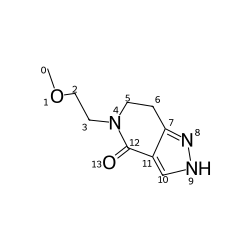 COCCN1CCc2n[nH]cc2C1=O